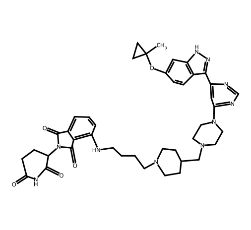 CC1(Oc2ccc3c(-c4cc(N5CCN(CC6CCN(CCCCNc7cccc8c7C(=O)N(C7CCC(=O)NC7=O)C8=O)CC6)CC5)ncn4)n[nH]c3c2)CC1